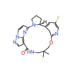 CC1(C)CNC(=O)c2cnn3ccc(nc23)N2CCC[C@@H]2C2=CC(F)=CN=C(C2)OC1